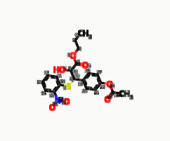 CCCOC(=O)[C@H](O)[C@@H](Sc1ccccc1[N+](=O)[O-])c1ccc(OC(C)=O)cc1